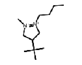 CCCC[N+]1=[N+](C)CC(C(C)(C)C)C1